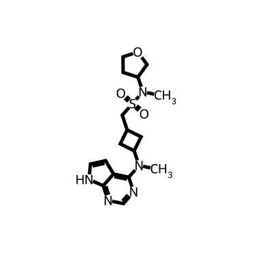 CN(c1ncnc2[nH]ccc12)C1CC(CS(=O)(=O)N(C)C2CCOC2)C1